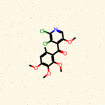 COc1cc(C)c(C(=O)c2c(OC)cnc(Cl)c2Cl)c(OC)c1OC